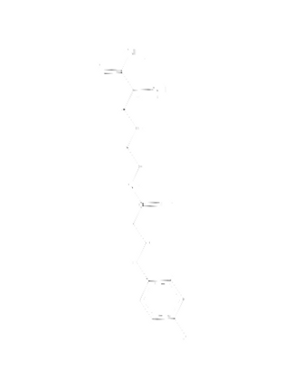 Cc1ccc(CCCC(=O)NCCCCC(N)C(N)=O)cc1